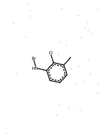 Cc1cccc(NBr)c1Cl